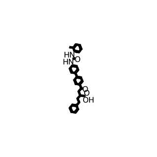 Cc1ccccc1NC(=O)Nc1ccc(-c2ccc(C(=O)CC(CCc3ccccc3)C(=O)O)cc2)cc1